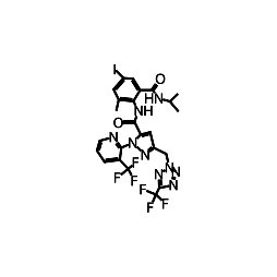 Cc1cc(I)cc(C(=O)NC(C)C)c1NC(=O)c1cc(Cn2nnc(C(F)(F)F)n2)nn1-c1ncccc1C(F)(F)F